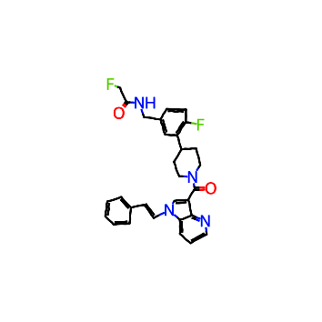 O=C(CF)NCc1ccc(F)c(C2CCN(C(=O)c3cn(C=Cc4ccccc4)c4cccnc34)CC2)c1